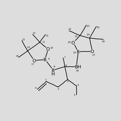 C=CCC(CC)C(C)(BB1OC(C)(C)C(C)(C)O1)BB1OC(C)(C)C(C)(C)O1